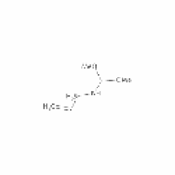 C=C[SiH2]NC(OC)OC